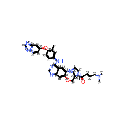 Cc1cc(Nc2ncnc3cc4c(cc23)N2CCN(C(=O)/C=C/CN(C)C)[C@@H](CO4)C2)ccc1Oc1ccn2ncnc2c1